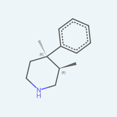 C[C@H]1CNCC[C@@]1(C)c1ccccc1